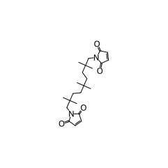 CC(C)(CCC(C)(C)CN1C(=O)C=CC1=O)CCC(C)(C)CN1C(=O)C=CC1=O